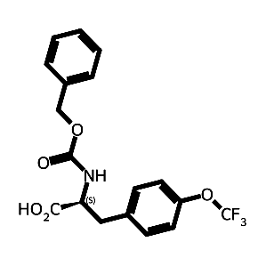 O=C(N[C@@H](Cc1ccc(OC(F)(F)F)cc1)C(=O)O)OCc1ccccc1